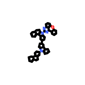 c1ccc2c(c1)Oc1cccc3nc(-n4c5ccc(-c6ccc7c(c6)c6ccccc6n7-c6ccc7c(ccc8ccccc87)c6)cc5c5c6ccccc6ccc54)nc-2c13